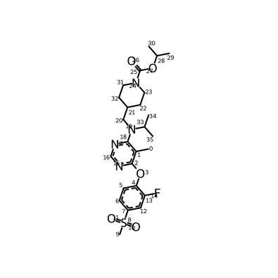 Cc1c(Oc2ccc(S(C)(=O)=O)cc2F)ncnc1N(CC1CCN(C(=O)OC(C)C)CC1)C(C)C